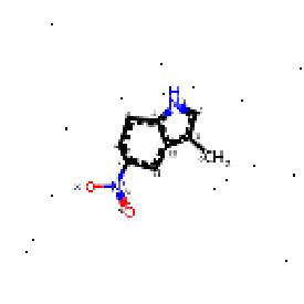 Cc1c[nH]c2ccc([N+](=O)[O-])cc12